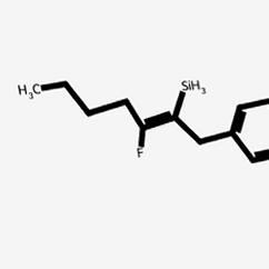 CCCCC(F)=C([SiH3])Cc1ccccc1